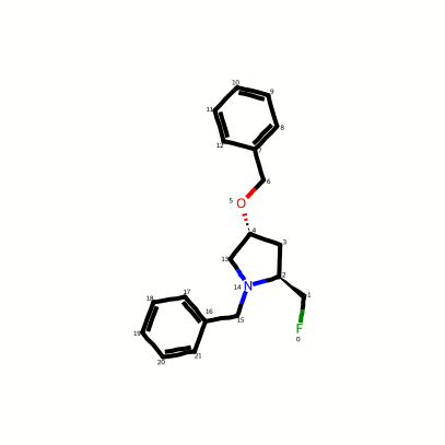 FC[C@@H]1C[C@@H](OCc2ccccc2)CN1Cc1ccccc1